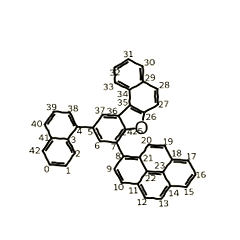 c1ccc2c(-c3cc(-c4ccc5ccc6cccc7ccc4c5c67)c4oc5ccc6ccccc6c5c4c3)cccc2c1